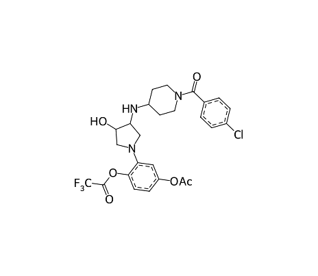 CC(=O)Oc1ccc(OC(=O)C(F)(F)F)c(N2CC(O)C(NC3CCN(C(=O)c4ccc(Cl)cc4)CC3)C2)c1